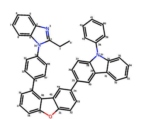 CCc1nc2ccccc2n1-c1ccc(-c2cccc3oc4ccc(-c5ccc6c(c5)c5ccccc5n6-c5ccccc5)cc4c23)cc1